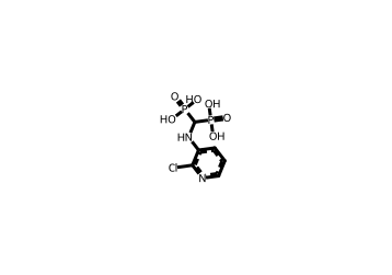 O=P(O)(O)C(Nc1cccnc1Cl)P(=O)(O)O